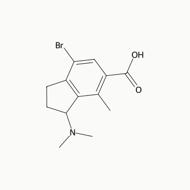 Cc1c(C(=O)O)cc(Br)c2c1C(N(C)C)CC2